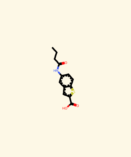 CCCC(=O)Nc1ccc2sc(C(=O)O)cc2c1